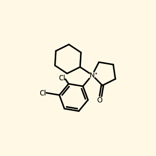 O=C1CCC[N+]1(c1cccc(Cl)c1Cl)C1CCCCC1